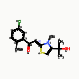 CCCCN1C(C(C)(C)O)=CS/C1=C\C(=O)c1cc(Cl)ccc1OC